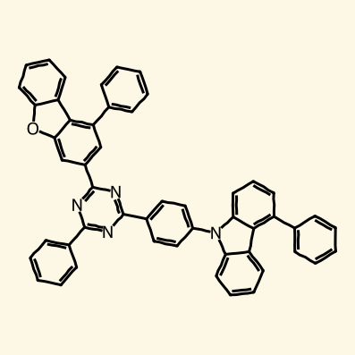 c1ccc(-c2nc(-c3ccc(-n4c5ccccc5c5c(-c6ccccc6)cccc54)cc3)nc(-c3cc(-c4ccccc4)c4c(c3)oc3ccccc34)n2)cc1